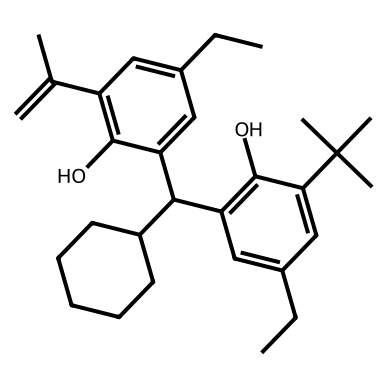 C=C(C)c1cc(CC)cc(C(c2cc(CC)cc(C(C)(C)C)c2O)C2CCCCC2)c1O